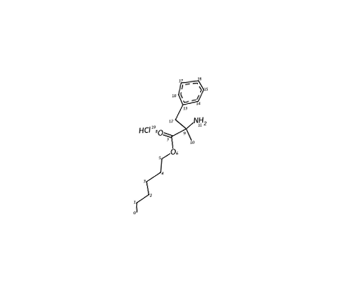 CCCCCCOC(=O)C(C)(N)Cc1ccccc1.Cl